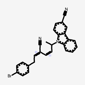 CC(/C=C\C(C#N)=C/Cc1ccc(Br)cc1)n1c2ccccc2c2cc(C#N)ccc21